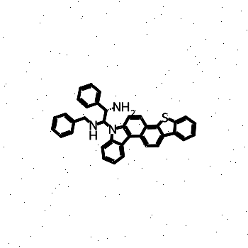 N[C@@H](c1ccccc1)C(NCc1ccccc1)n1c2ccccc2c2c3ccc4c5ccccc5sc4c3ccc21